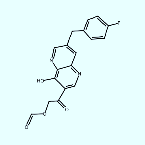 O=COCC(=O)c1cnc2cc(Cc3ccc(F)cc3)cnc2c1O